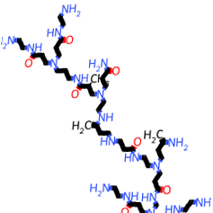 C=C(N)CCN(CCNC(=O)CCNCCC(=C)NCCN(CCC(N)=O)C[C@@H](C)C(=O)NCCCN(CCC(=O)NCCN)CCC(=O)NCCN)CCC(=O)NCN(CCC(=O)NCCN)CC1C=C1NCCN